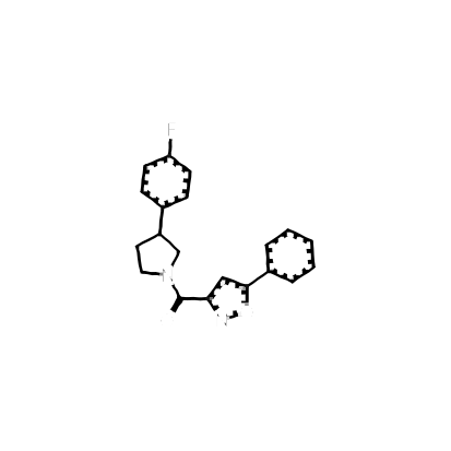 O=C(c1cc(-c2ccccc2)on1)N1CCC(c2ccc(F)cc2)C1